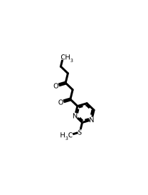 CCCC(=O)CC(=O)c1ccnc(SC)n1